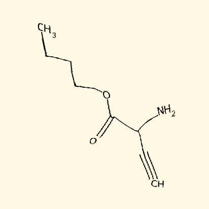 C#CC(N)C(=O)OCCCC